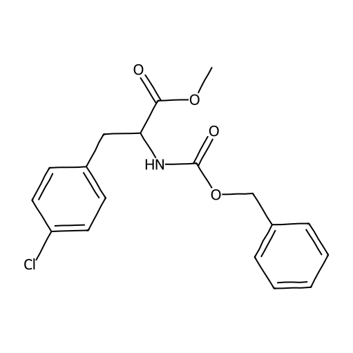 COC(=O)C(Cc1ccc(Cl)cc1)NC(=O)OCc1ccccc1